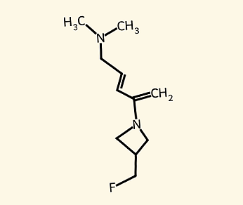 C=C(/C=C/CN(C)C)N1CC(CF)C1